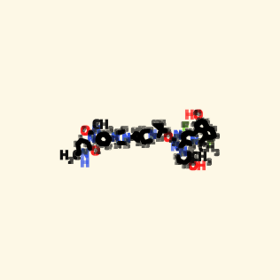 C=C1CCC(n2c(=O)n(C)c3cc(N4CCN(C5CC6(CCN(CC7(COc8nc(N9CCC[C@@](C)(O)C9)c9cnc(-c%10cc(O)cc%11ccc(F)c(CC)c%10%11)c(F)c9n8)CC7)CC6)C5)CC4)ccc32)C(=O)N1